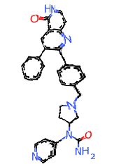 NC(=O)N(c1ccncc1)C1CCN(Cc2ccc(-c3nc4cc[nH]c(=O)c4cc3-c3ccccc3)cc2)C1